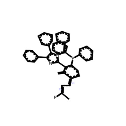 C=c1c(-c2nc(-c3ccccc3)c(-c3ccccc3)n2Cc2ccccc2)c(P(c2ccccc2)c2ccccc2)cc/c1=C/C=C(\C)F